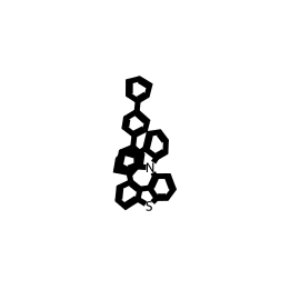 c1ccc(-c2ccc(-c3ccc(-c4cccc5sc6cccc(-n7c8ccccc8c8ccccc87)c6c45)cc3)cc2)cc1